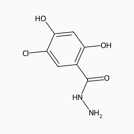 NNC(=O)c1cc(Cl)c(O)cc1O